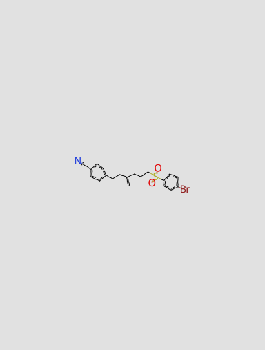 C=C(CCCS(=O)(=O)c1ccc(Br)cc1)CCc1ccc(C#N)cc1